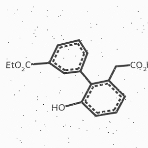 CCOC(=O)c1cccc(-c2c(O)cccc2CC(=O)O)c1